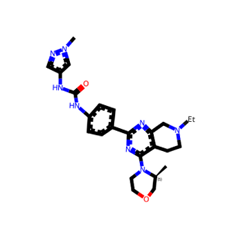 CCN1CCc2c(nc(-c3ccc(NC(=O)Nc4cnn(C)c4)cc3)nc2N2CCOC[C@@H]2C)C1